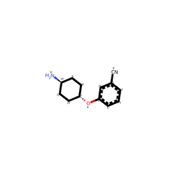 N#Cc1cccc(O[C@H]2CC[C@H](N)CC2)c1